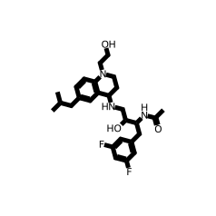 CC(=O)NC(Cc1cc(F)cc(F)c1)C(O)CNC1CCN(CCO)c2ccc(CC(C)C)cc21